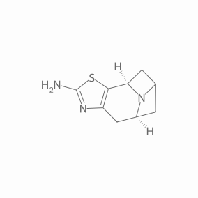 Nc1nc2c(s1)[C@H]1CC3C[C@@H](C2)N31